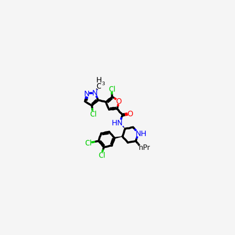 CCCC1C[C@@H](c2ccc(Cl)c(Cl)c2)[C@H](NC(=O)c2cc(-c3c(Cl)cnn3C)c(Cl)o2)CN1